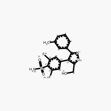 Cc1cccc(-c2noc(CO)c2-c2cc(F)c(S(N)(=O)=O)c(F)c2)c1